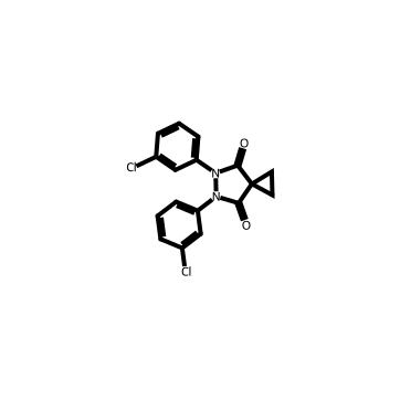 O=C1N(c2cccc(Cl)c2)N(c2cccc(Cl)c2)C(=O)C12CC2